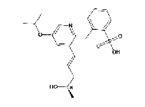 CC(C)Oc1cncc(C=CC[C@@H](C)O)c1.Cc1ccccc1S(=O)(=O)O